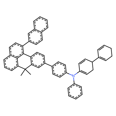 CC1(C)c2cc(-c3ccc(N(C4=CCC(C5=CCCC=C5)C=C4)c4ccccc4)cc3)ccc2-c2c(-c3ccc4ccccc4c3)ccc3cccc1c23